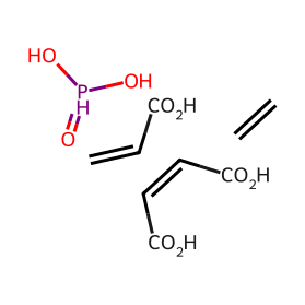 C=C.C=CC(=O)O.O=C(O)/C=C\C(=O)O.O=[PH](O)O